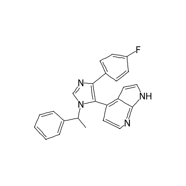 CC(c1ccccc1)n1cnc(-c2ccc(F)cc2)c1-c1ccnc2[nH]ccc12